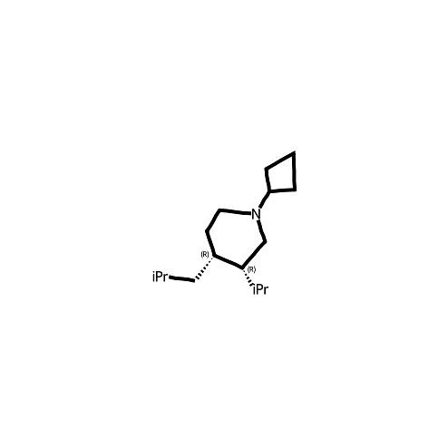 CC(C)C[C@@H]1CCN(C2CCC2)C[C@@H]1C(C)C